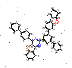 c1ccc(-c2ccc(-c3nc(-c4cc(-c5ccccc5)cc(-c5ccc6c(c5)oc5ccccc56)c4)nc4c3sc3ccccc34)cc2)cc1